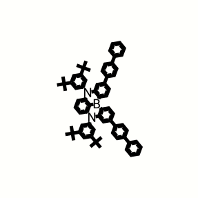 CC(C)(C)c1cc(N2c3cc(-c4ccc(-c5ccccc5)cc4)ccc3B3c4ccc(-c5ccc(-c6ccccc6)cc5)cc4N(c4cc(C(C)(C)C)cc(C(C)(C)C)c4)c4cccc2c43)cc(C(C)(C)C)c1